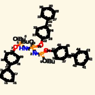 CC(C)COP(N=P(NP(OCC(C)C)Oc1ccc(-c2ccccc2)cc1)(OCC(C)C)Oc1ccc(-c2ccccc2)cc1)Oc1ccc(-c2ccccc2)cc1